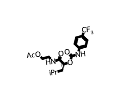 CC(=O)OCCNC(=O)[C@H](CC(C)C)OC(=O)Nc1ccc(C(F)(F)F)cc1